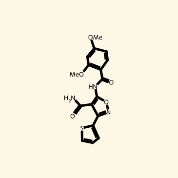 COc1ccc(C(=O)Nc2onc(-c3cccs3)c2C(N)=O)c(OC)c1